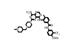 COc1ccc(NC(=O)c2ccc(C)c(Nc3ncnc4c(N)nc(N5CCN(CC6CCN(C)CC6)CC5)nc34)c2)cc1C(F)(F)F